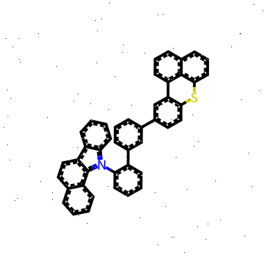 c1cc(-c2ccc3c(c2)-c2cccc4cccc(c24)S3)cc(-c2ccccc2-n2c3ccccc3c3ccc4ccccc4c32)c1